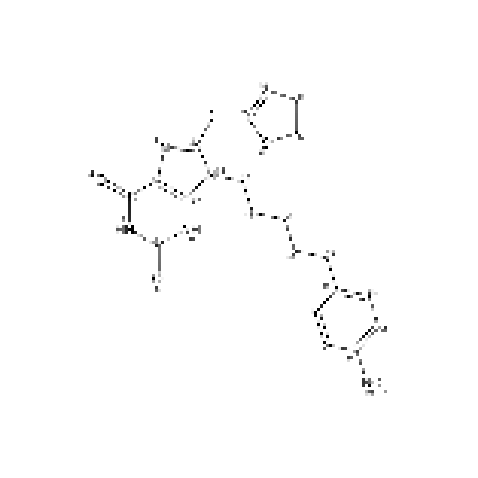 O=c1[nH]c(=O)c2nc(Cc3cccs3)n(CCCCCc3ccc([N+](=O)[O-])cc3)c2[nH]1